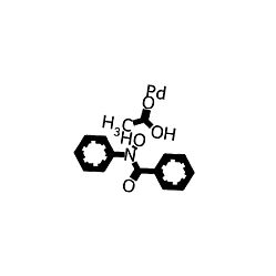 CC(=O)O.O=C(c1ccccc1)N(O)c1ccccc1.[Pd]